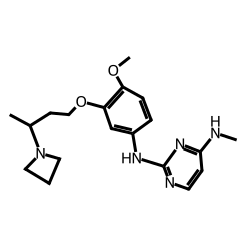 CNc1ccnc(Nc2ccc(OC)c(OCCC(C)N3CCC3)c2)n1